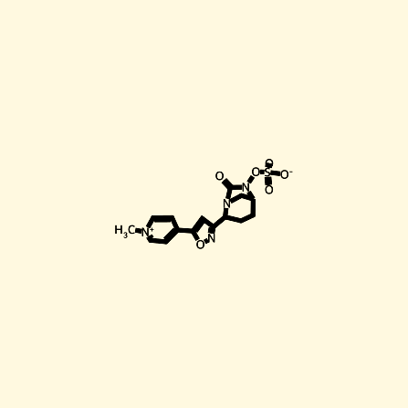 C[n+]1ccc(-c2cc(C3CCC4CN3C(=O)N4OS(=O)(=O)[O-])no2)cc1